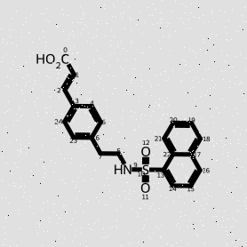 O=C(O)C=Cc1ccc(CCNS(=O)(=O)c2cccc3ccccc23)cc1